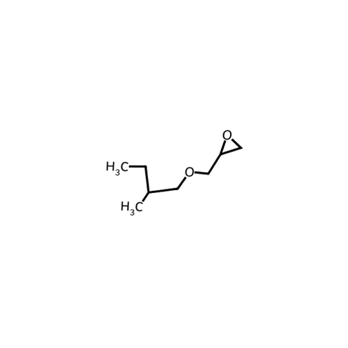 CCC(C)COCC1CO1